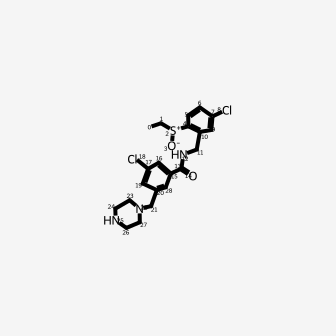 CC[S+]([O-])c1ccc(Cl)cc1CNC(=O)c1cc(Cl)cc(CN2CCNCC2)c1